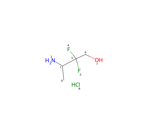 CC(N)C(F)(F)CO.Cl